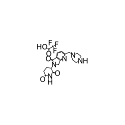 O=C(O)C(F)(F)F.O=C1CCC(N2Cc3nc(CN4CCNCC4)ccc3C2=O)C(=O)N1